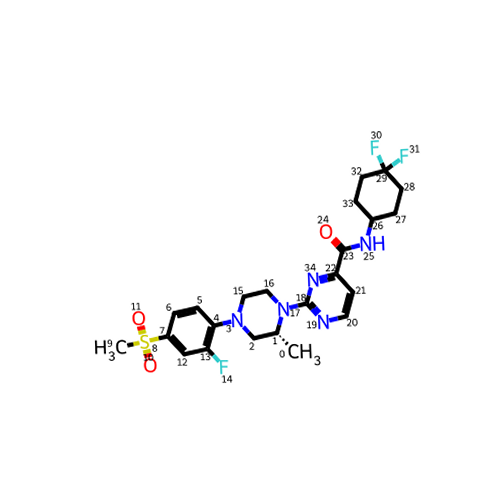 C[C@@H]1CN(c2ccc(S(C)(=O)=O)cc2F)CCN1c1nccc(C(=O)NC2CCC(F)(F)CC2)n1